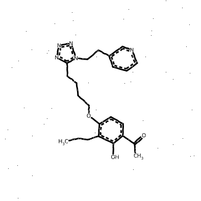 CCCc1c(OCCCCc2nnnn2CCc2cccnc2)ccc(C(C)=O)c1O